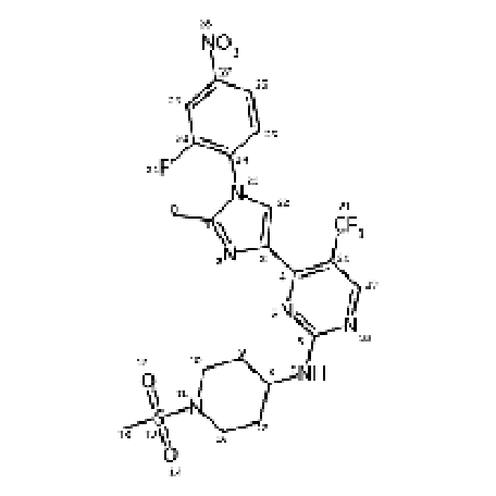 Cc1nc(-c2nc(NC3CCN(S(C)(=O)=O)CC3)ncc2C(F)(F)F)cn1-c1ccc([N+](=O)[O-])cc1F